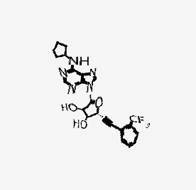 O[C@@H]1[C@H](O)[C@@H](C#Cc2ccccc2C(F)(F)F)O[C@H]1n1cnc2c(NC3CCCC3)ncnc21